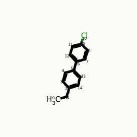 C[CH]c1ccc(-c2ccc(Cl)cc2)cc1